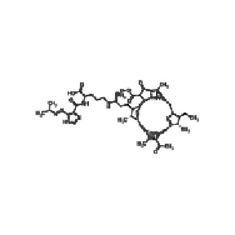 CC[C@@H]1C2Cc3[nH]c4c(c3C)C(=O)C(C(=O)OC)/C4=C3N=C(/C=c4\[nH]/c(c(C(C)=O)c4C)=C\C(=N2)[C@H]1C)[C@H](C)[C@H]/3CCC(=O)NCCCC(NC(=O)c1nc[nH]c1/N=N/C(C)C)C(=O)O